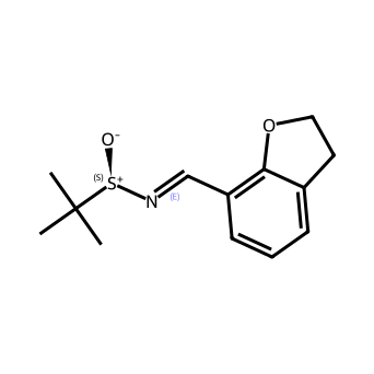 CC(C)(C)[S@@+]([O-])/N=C/c1cccc2c1OCC2